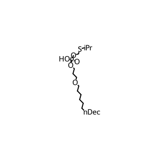 CCCCCCCCCCCCCCCCOCCCOP(=O)(O)OCSC(C)C